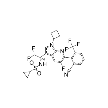 N#Cc1cccc(C(F)(F)F)c1-c1nc2c(cc1F)c([C@H](NS(=O)(=O)C1CC1)C(F)F)cn2C1CCC1